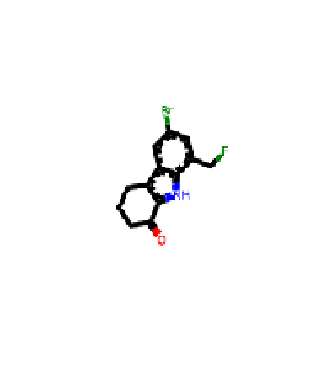 O=C1CCCc2c1[nH]c1c(CF)cc(Br)cc21